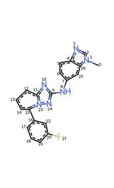 Cn1cnc2ccc(Nc3nc4cccc(-c5cccc(F)c5)n4n3)cc21